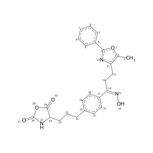 Cc1oc(-c2ccccc2)nc1CCC(=NO)c1ccc(CCCC2NC(=O)OC2=O)cc1